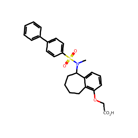 CN(C1CCCCc2c(OCC(=O)O)cccc21)S(=O)(=O)c1ccc(-c2ccccc2)cc1